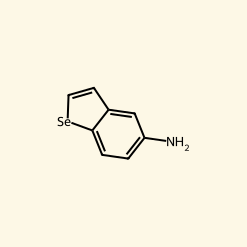 Nc1ccc2[se]ccc2c1